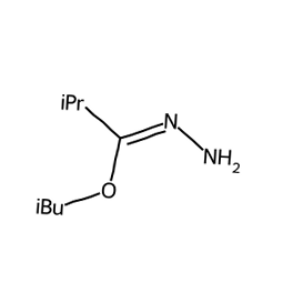 CCC(C)O/C(=N\N)C(C)C